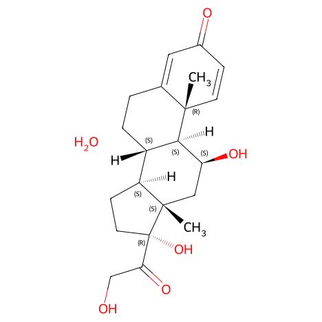 C[C@]12C=CC(=O)C=C1CC[C@@H]1[C@@H]2[C@@H](O)C[C@@]2(C)[C@H]1CC[C@]2(O)C(=O)CO.O